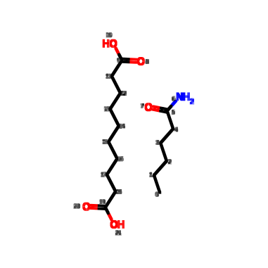 CCCCCC(N)=O.O=C(O)CCCCCCCCC(=O)O